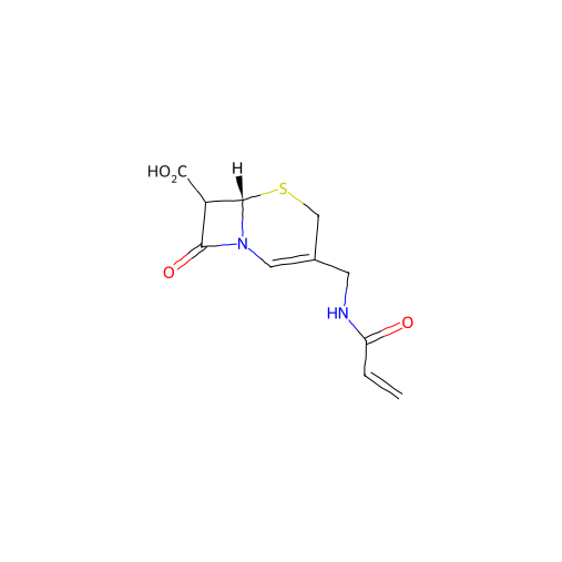 C=CC(=O)NCC1=CN2C(=O)C(C(=O)O)[C@@H]2SC1